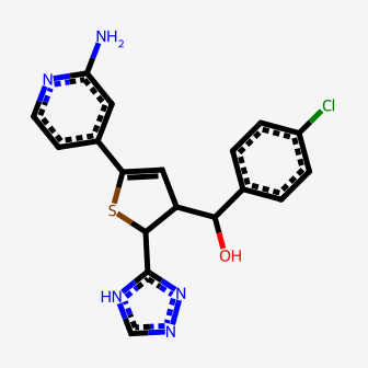 Nc1cc(C2=CC(C(O)c3ccc(Cl)cc3)C(c3nnc[nH]3)S2)ccn1